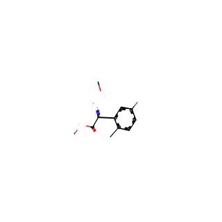 CO/N=C(/C(=O)OC)c1cc(Br)ccc1C